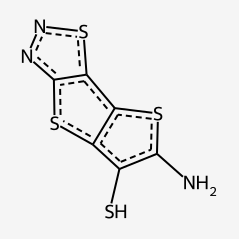 Nc1sc2c(sc3nnsc32)c1S